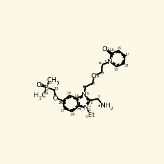 CC[n+]1c(CN)n(CCOCCn2ccccc2=O)c2cc(OCP(C)(C)=O)ccc21